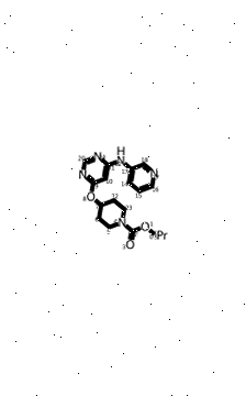 CC(C)OC(=O)N1CCC(Oc2cc(Nc3cccnc3)ncn2)CC1